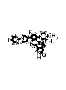 CC1CN(c2cc(F)c(C3=CCN(c4ncc(F)cn4)CC3)c(F)c2NC(=O)c2c[nH]c(=O)cc2C(F)(F)F)CCN1C